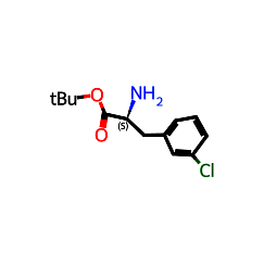 CC(C)(C)OC(=O)[C@@H](N)Cc1cccc(Cl)c1